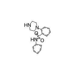 O=S(=O)(Nc1ccccc1)c1ccccc1N1CCNCC1